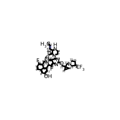 C#Cc1c(F)ccc2cc(O)cc(-c3nc4c5c(nc(OCC6(CN7CC[C@@H](C(F)(F)F)C7)CC6)nc5c3F)N3CCNC(/C=C/C)[C@H]3CO4)c12